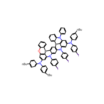 CCCCc1ccc(N(c2ccc(C(C)(C)C)cc2)c2cc3c4c(c2)N(c2ccc(I)cc2)c2cc5c(cc2B4c2ccccc2O3)B2c3ccccc3N(c3ccccc3)c3cc(N(c4ccc(I)cc4)c4ccc(CCCC)cc4)cc(c32)N5c2ccc(I)cc2)cc1